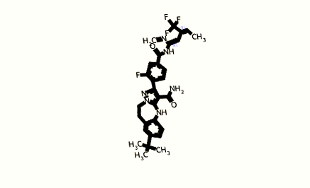 C=N/C(=C\C(=C/C)C(F)(F)F)NC(=O)c1ccc(-c2nn3c(c2C(N)=O)Nc2ccc(C(C)(C)C)cc2CC3)c(F)c1